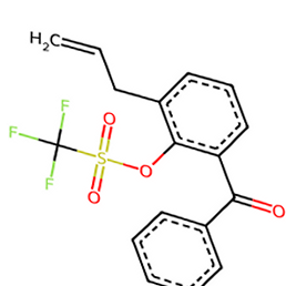 C=CCc1cccc(C(=O)c2ccccc2)c1OS(=O)(=O)C(F)(F)F